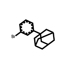 Brc1cccc(C23CC4CC(CC(C4)C2)C3)c1